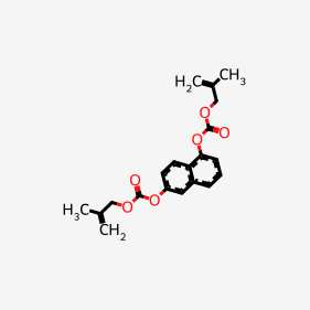 C=C(C)COC(=O)Oc1ccc2c(OC(=O)OCC(=C)C)cccc2c1